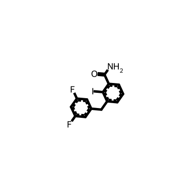 NC(=O)c1cccc(Cc2cc(F)cc(F)c2)c1I